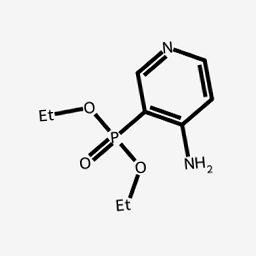 CCOP(=O)(OCC)c1cnccc1N